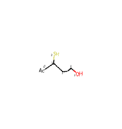 CC(=O)C(S)CCO